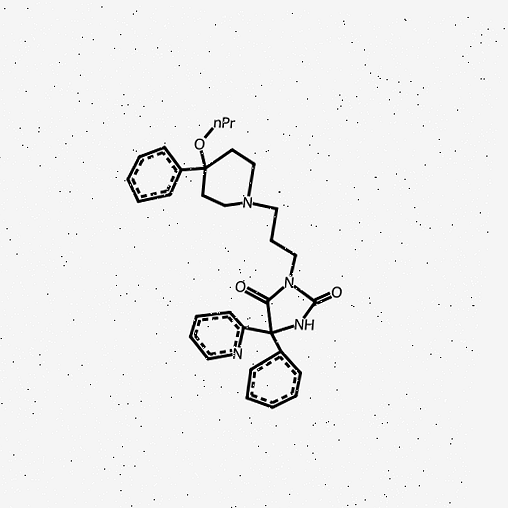 CCCOC1(c2ccccc2)CCN(CCCN2C(=O)NC(c3ccccc3)(c3ccccn3)C2=O)CC1